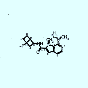 CN(C)c1nccc2cc(C(=O)NC3CC4(F)CCC34)n(C)c12